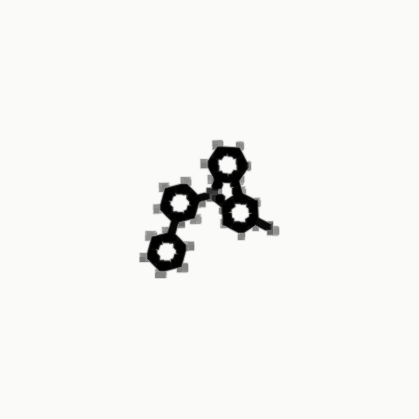 Ic1ccc2c(c1)c1ccccc1n2-c1cccc(-c2ccccc2)c1